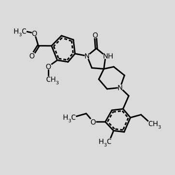 CCOc1cc(CN2CCC3(CC2)CN(c2ccc(C(=O)OC)c(OC)c2)C(=O)N3)c(CC)cc1C